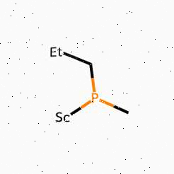 CCC[P](C)[Sc]